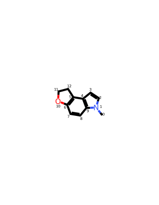 Cn1ccc2c3c(ccc21)OCC3